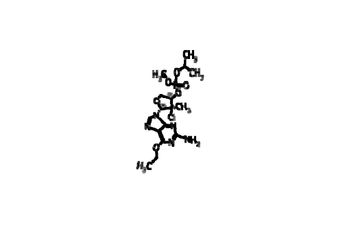 CCOc1nc(N)nc2c1ncn2[C@@H]1OC[C@@H](O[P@@](=O)(OC)OC(C)C)[C@@]1(C)Cl